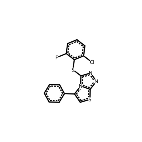 Fc1cccc(Cl)c1Sc1nnc2scc(-c3ccccc3)n12